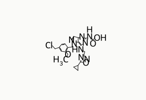 COc1cc(CCl)ccc1Cn1ncc2nc(NC(=O)O)nc(NCc3noc(C4CC4)n3)c21